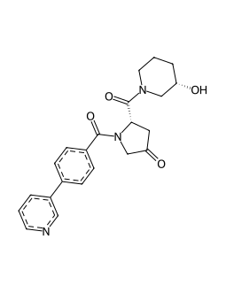 O=C1C[C@@H](C(=O)N2CCC[C@H](O)C2)N(C(=O)c2ccc(-c3cccnc3)cc2)C1